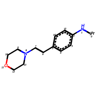 CC(C)Nc1ccc(CCN2CCOCC2)cc1